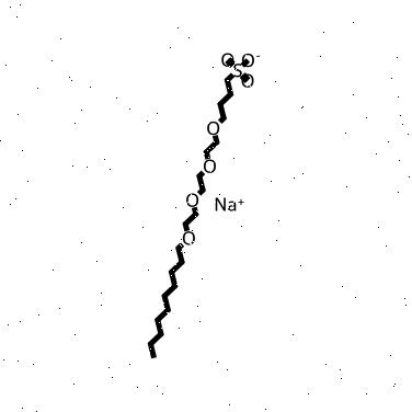 CCCCCCCCCCOCCOCCOCCOCCCCS(=O)(=O)[O-].[Na+]